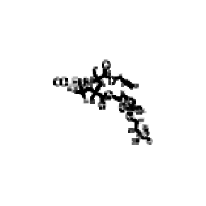 C#CCOC(=O)C(C)(Br)CC(C)(CC(C)(C)C(=O)OCC)C(=O)OCCOP(=O)([O-])OCC[N+](C)(C)C